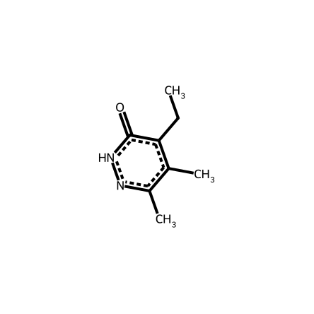 CCc1c(C)c(C)n[nH]c1=O